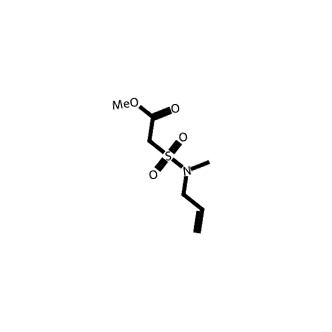 C=CCN(C)S(=O)(=O)CC(=O)OC